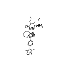 C=CCC(C(N)=O)C(CC(C)C)C(=O)NC1CCCCn2c(-c3ccc(-c4c(C)noc4C)cc3)nnc21